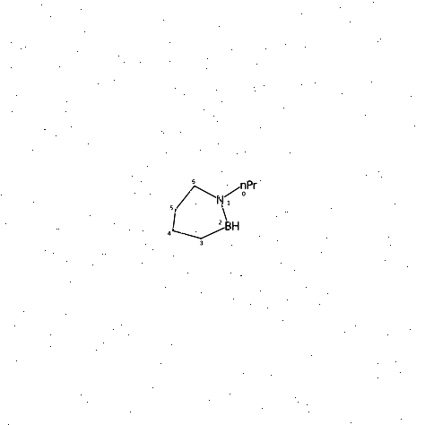 CCCN1BCCCC1